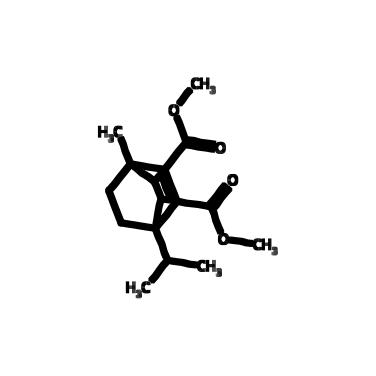 COC(=O)C1C(C(=O)OC)C2(C(C)C)C=CC1(C)CC2